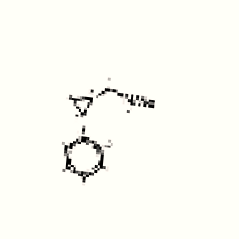 CNC[C@@H]1C[C@H]1c1ccccc1